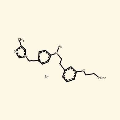 CCCCCCCCCCCCOc1cccc(CCN(C(C)=O)c2ccc(C[n+]3csc(C)c3)cc2)c1.[Br-]